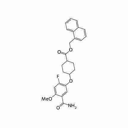 COc1cc(F)c(OC2CCC(C(=O)OCc3cccc4ccccc34)CC2)cc1C(N)=O